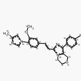 COc1cc(/C=C/c2nc(-c3ccc(F)cc3)c3n2CCOC3)ccc1-n1cnc(C)c1